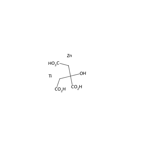 O=C(O)CC(O)(CC(=O)O)C(=O)O.[Ti].[Zn]